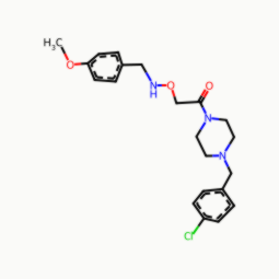 COc1ccc(CNOCC(=O)N2CCN(Cc3ccc(Cl)cc3)CC2)cc1